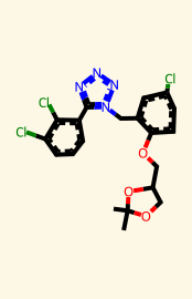 CC1(C)OCC(COc2ccc(Cl)cc2Cn2nnnc2-c2cccc(Cl)c2Cl)O1